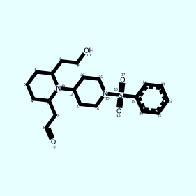 O=CCC1CCCC(CCO)N1C1CCN(S(=O)(=O)c2ccccc2)CC1